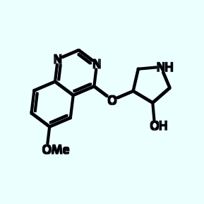 COc1ccc2ncnc(OC3CNCC3O)c2c1